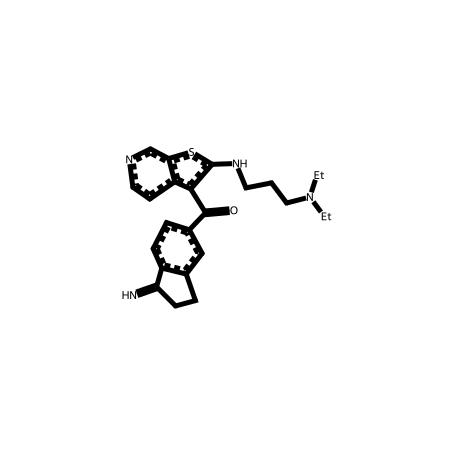 CCN(CC)CCCNc1sc2cnccc2c1C(=O)c1ccc2c(c1)CCC2=N